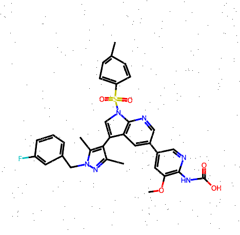 COc1cc(-c2cnc3c(c2)c(-c2c(C)nn(Cc4cccc(F)c4)c2C)cn3S(=O)(=O)c2ccc(C)cc2)cnc1NC(=O)O